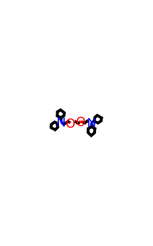 C1CCC(N(CCOCCOCCN(C2CCCCC2)C2CCCCC2)C2CCCCC2)CC1